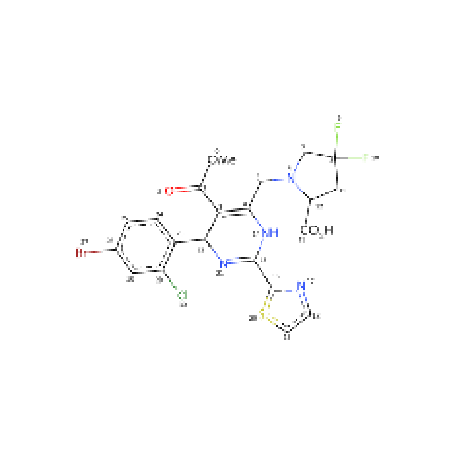 COC(=O)C1=C(CN2CC(F)(F)CC2C(=O)O)NC(c2nccs2)=NC1c1ccc(Br)cc1Cl